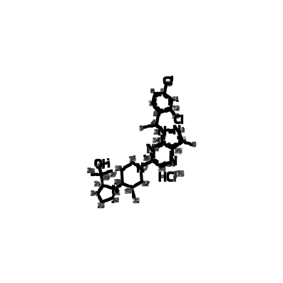 Cc1nn(C(C)c2ccc(Cl)cc2Cl)c2nc(N3CC[C@H](N4CCC[C@H]4C(C)(C)O)[C@H](C)C3)cnc12.Cl